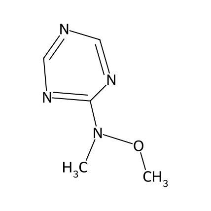 CON(C)c1ncncn1